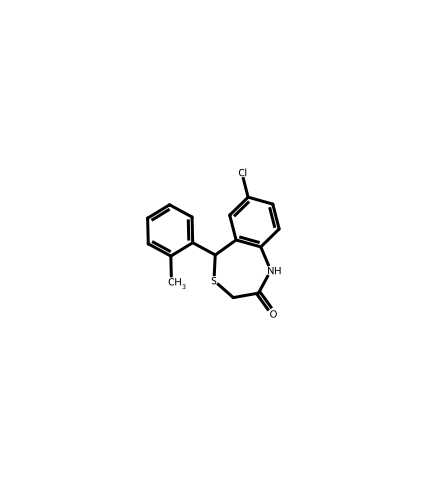 Cc1ccccc1C1SCC(=O)Nc2ccc(Cl)cc21